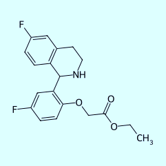 CCOC(=O)COc1ccc(F)cc1C1NCCc2cc(F)ccc21